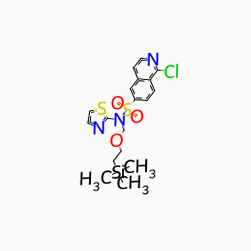 C[Si](C)(C)CCOCN(c1nccs1)S(=O)(=O)c1ccc2c(Cl)nccc2c1